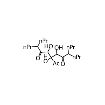 CCCC(CCC)C(=O)C(O)C(O)(C(C)=O)C(O)C(=O)C(CCC)CCC